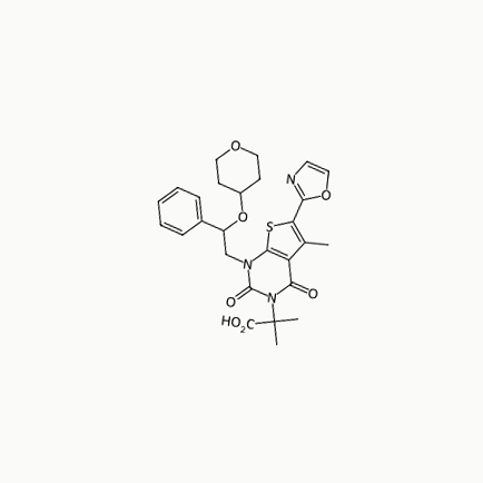 Cc1c(-c2ncco2)sc2c1c(=O)n(C(C)(C)C(=O)O)c(=O)n2CC(OC1CCOCC1)c1ccccc1